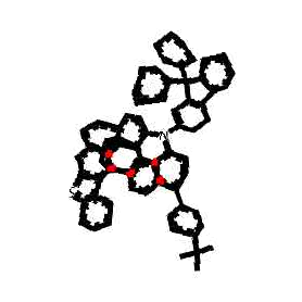 CC(C)(C)c1ccc(-c2ccc(N(C3=CC4=C(CC3)c3ccccc3C4(c3ccccc3)c3ccccc3)c3ccc4ccccc4c3-c3ccccc3-c3cccc4sc5ccccc5c34)c(C3=CC=CC#CC3)c2)cc1